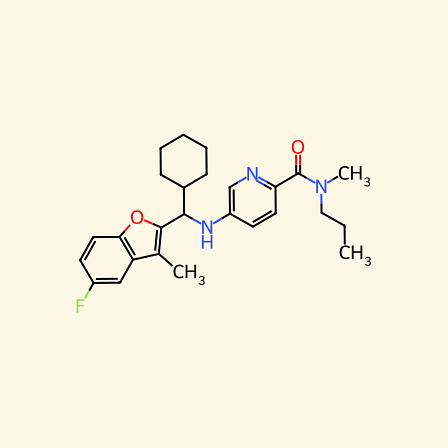 CCCN(C)C(=O)c1ccc(NC(c2oc3ccc(F)cc3c2C)C2CCCCC2)cn1